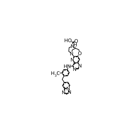 Cc1cc(Nc2ncnc3cc4c(nc23)N2CCN(C(=O)O)[C@@H](CO4)C2)ccc1Cc1ccn2ncnc2c1